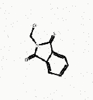 O=C1c2ccccc2C(=S)N1CO